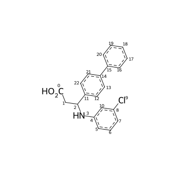 O=C(O)CC(Nc1cccc(Cl)c1)c1ccc(-c2ccccc2)cc1